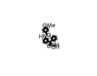 COc1ccc(C(=O)Nc2cccc(C(C(=O)NO)c3ccccc3)c2)cc1